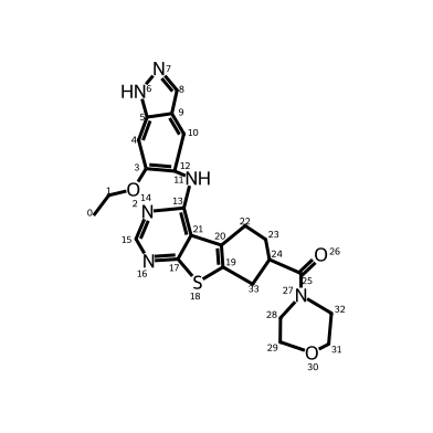 CCOc1cc2[nH]ncc2cc1Nc1ncnc2sc3c(c12)CCC(C(=O)N1CCOCC1)C3